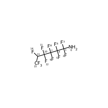 NC(F)(F)C(F)(F)C(F)(F)C(F)(F)C(F)C(F)(F)F